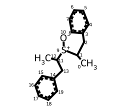 CC(Cc1ccccc1)[S+]([O-])C(C)Cc1ccccc1